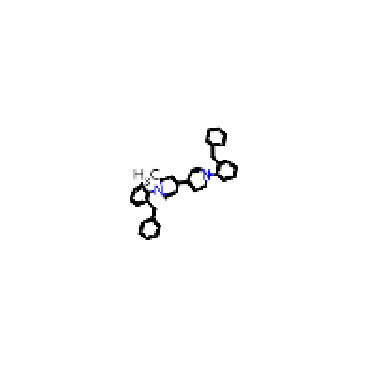 CC1C=C(C2=CCN(c3ccccc3Cc3ccccc3)C=C2)C=CN1c1ccccc1Cc1ccccc1